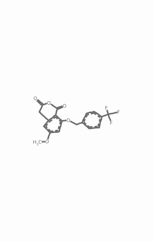 COc1cc2c(c(OCc3ccc(C(F)(F)F)cc3)c1)C(=O)OC(=O)C2